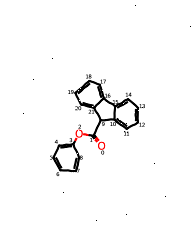 O=C(Oc1ccccc1)C1c2ccccc2-c2ccccc21